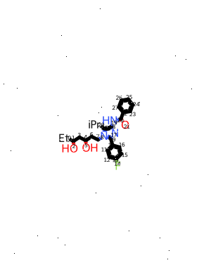 [CH2]CC(O)CC(O)CCn1c(-c2ccc(F)cc2)nc(NC(=O)c2ccccc2)c1C(C)C